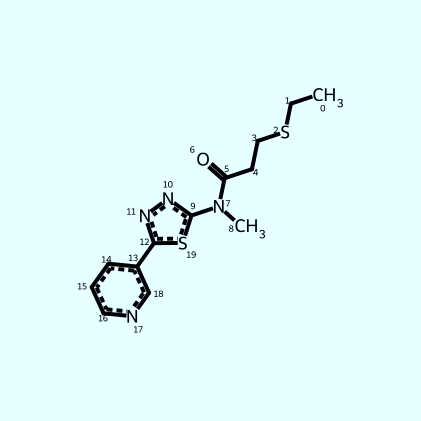 CCSCCC(=O)N(C)c1nnc(-c2cccnc2)s1